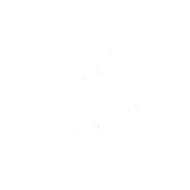 Cc1cc(Cl)c(-n2ccc3ncc(-c4cccnc4)n32)cc1N